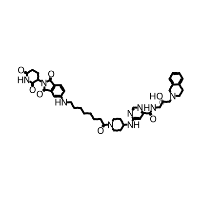 O=C1CCC(N2C(=O)c3ccc(NCCCCCCCC(=O)N4CCC(Nc5cc(C(=O)NC[C@H](O)CN6CCc7ccccc7C6)ncn5)CC4)cc3C2=O)C(=O)N1